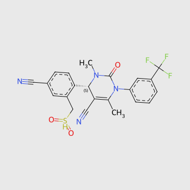 CC1=C(C#N)[C@H](c2ccc(C#N)cc2C[SH](=O)=O)N(C)C(=O)N1c1cccc(C(F)(F)F)c1